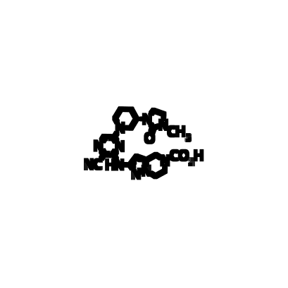 CN1CCN([C@@H]2CCCN(c3cnc(C#N)c(Nc4cc5n(n4)CCN(C(=O)O)C5)n3)C2)C1=O